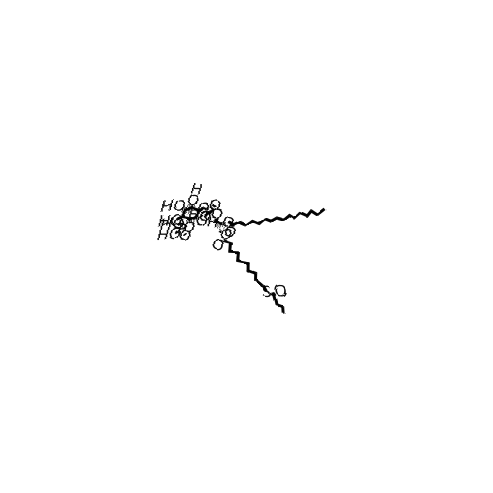 CCCCCCCCCCCCCCCC(=O)O[C@H](COC(=O)CCCCCCCCCSC(=O)CCC)COP(=O)(O)OC1C(O)[C@@H](OP(=O)(O)O)C(O)[C@@H](O)[C@H]1O